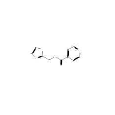 O=C(NCc1ncco1)c1ccncc1